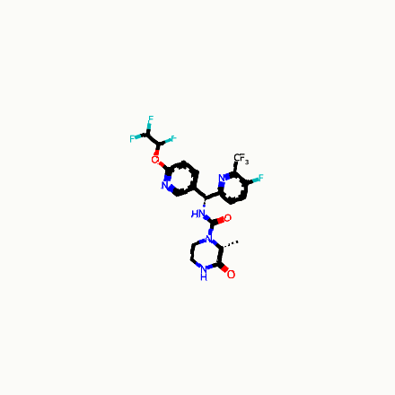 C[C@@H]1C(=O)NCCN1C(=O)N[C@H](c1ccc(OC(F)C(F)F)nc1)c1ccc(F)c(C(F)(F)F)n1